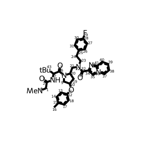 CNCC(=O)NC(C(=O)N1CC(Oc2ccc(C)cc2)CC1CN(CCc1ccc(F)cc1)C(=O)c1cn2ccccc2n1)C(C)(C)C